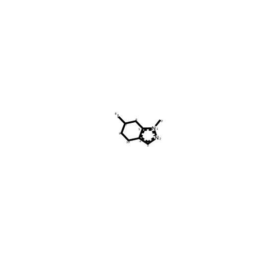 Cn1ncc2c1CC(I)CC2